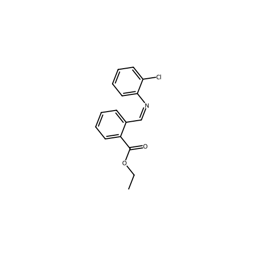 CCOC(=O)c1ccccc1/C=N\c1ccccc1Cl